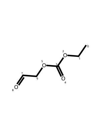 [CH2]COC(=O)OCC=O